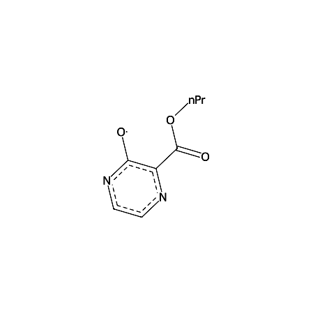 CCCOC(=O)c1nccnc1[O]